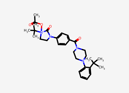 CC(=O)O[N+]1(C(C)(C)C)CCN(c2ccc(C(=O)N3CCN(c4ccccc4C(C)(C)C)CC3)cc2)C1=O